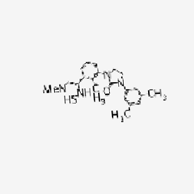 CN/C=C(\NS)c1cccc(N2CCN(c3cc(C)cc(C)c3)C2=O)c1C